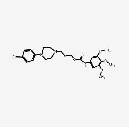 COc1cc(NC(=S)OCCCN2CCN(c3ccc(Cl)cc3)CC2)cc(OC)c1OC